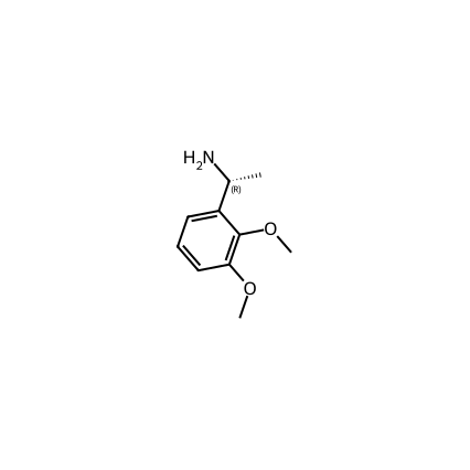 COc1cccc([C@@H](C)N)c1OC